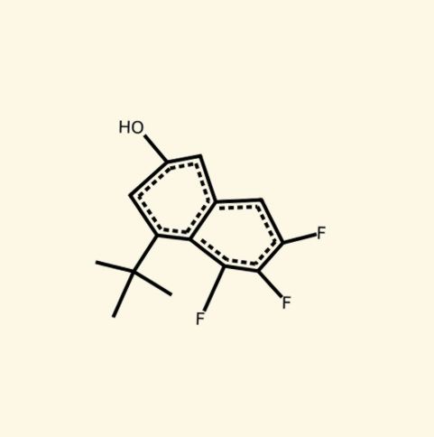 CC(C)(C)c1cc(O)cc2cc(F)c(F)c(F)c12